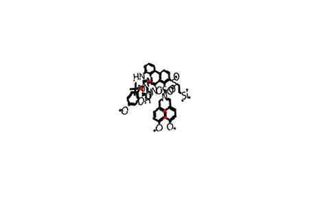 COc1ccc(CN(Cc2ccc(OC)cc2)S(=O)(=O)c2c(S(=O)(=O)CC[Si](C)(C)C)ccc(-c3cccc4[nH]c(N(C(=O)O)C(C)(C)C)nc34)c2-c2nnn(Cc3ccc(OC)cc3)n2)cc1